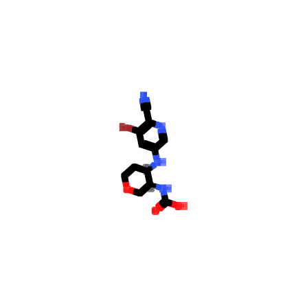 N#Cc1ncc(N[C@@H]2CCOC[C@@H]2NC(=O)O)cc1Br